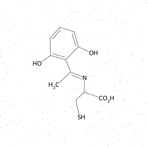 CC(=NC(CS)C(=O)O)c1c(O)cccc1O